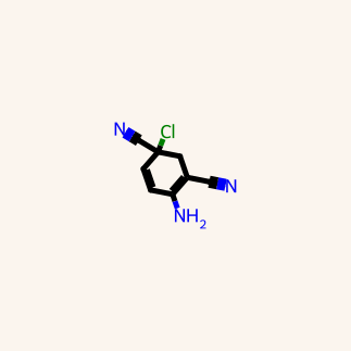 N#CC1=C(N)C=CC(Cl)(C#N)C1